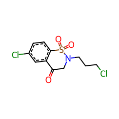 O=C1CN(CCCCl)S(=O)(=O)c2ccc(Cl)cc21